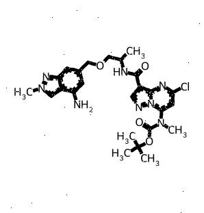 CC(COCc1cc(N)c2cn(C)nc2c1)NC(=O)c1cnn2c(N(C)C(=O)OC(C)(C)C)cc(Cl)nc12